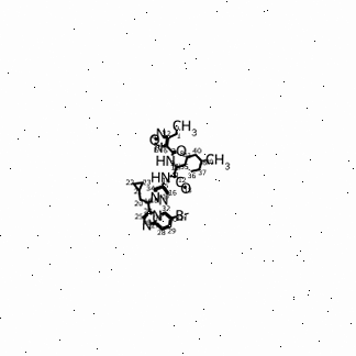 CCc1nonc1C(=O)N[C@H](C(=C=O)Nc1cnn(C(CC2CC2)c2cnc3ccc(Br)cn23)c1)[C@H]1CC[C@H](C)CC1